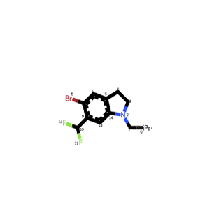 C[C](C)CN1CCc2cc(Br)c(C(F)F)cc21